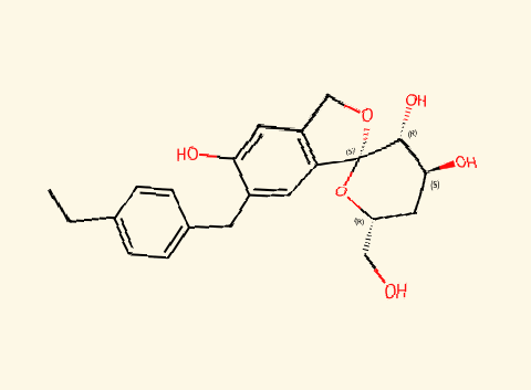 CCc1ccc(Cc2cc3c(cc2O)CO[C@]32O[C@@H](CO)C[C@H](O)[C@H]2O)cc1